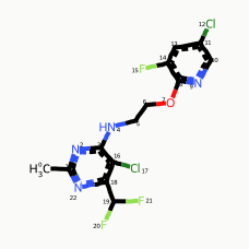 Cc1nc(NCCOc2ncc(Cl)cc2F)c(Cl)c(C(F)F)n1